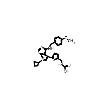 COc1ccc(CNc2ncnc3c2c(-c2ccc(CNC(=O)O)s2)cn3C2CCC2)cc1